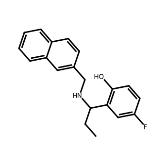 CCC(NCc1ccc2ccccc2c1)c1cc(F)ccc1O